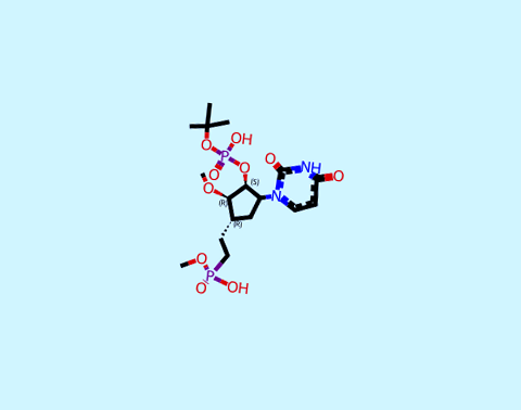 CO[C@@H]1[C@@H](CCP(=O)(O)OC)CC(n2ccc(=O)[nH]c2=O)[C@@H]1OP(=O)(O)OC(C)(C)C